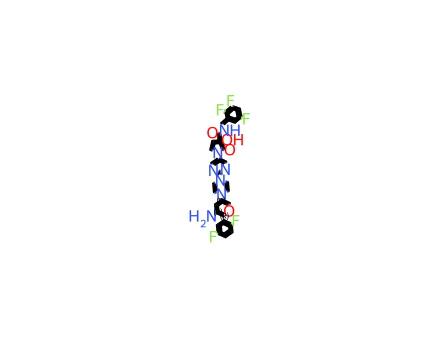 N[C@H]1C[C@@H](N2CCN(c3ncc(N4CCC(O)(C(=O)NCc5cc(F)cc(F)c5F)C4=O)cn3)CC2)CO[C@@H]1c1cc(F)ccc1F